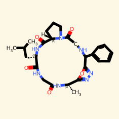 CC(C)C[C@@H]1NC(=O)[C@@H]2CCCN2C(=O)CNC(c2ccccc2)c2nnc(o2)[C@H](C)NC(=O)CNC1=O